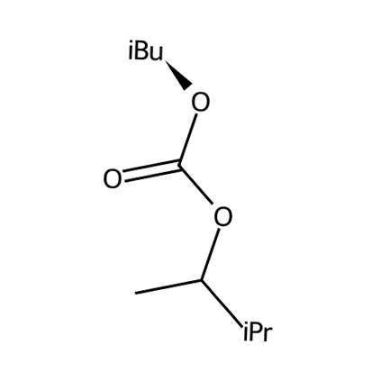 CC[C@H](C)OC(=O)OC(C)C(C)C